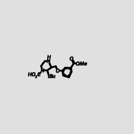 COC(=O)c1cccc(OCC2NCCN(C(=O)O)C2C(C)(C)C)c1